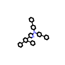 c1ccc(-c2ccc(N(c3ccc(-c4ccccc4)cc3)c3ccc(-c4ccc(-c5ccccc5)cc4-c4ccccc4)cn3)cc2)cc1